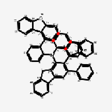 Cc1cc2c(c(N(c3ccccc3-c3cccc4oc5ccccc5c34)c3c4c(cc(-c5ccccc5)c3-c3ccccc3)-c3ccccc3C4)c1C)Cc1ccccc1-2